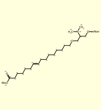 CCCCCCCCCOCC(COCCCCCCCC/C=C/CCCCCC(=O)OC)N(C)C